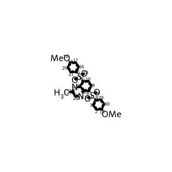 COc1ccc(S(=O)(=O)c2ccc(S(=O)(=O)c3ccc(OC)cc3)c3nc(C)cnc23)cc1